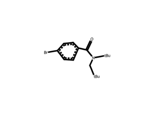 CC(C)(C)CN(C(=O)c1ccc(Br)cc1)C(C)(C)C